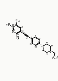 CC[C@H]1CC[C@H](c2ccc(C#Cc3cc(F)c(F)nc3Cl)cc2)CC1